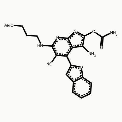 COCCCNc1nc2sc(OC(N)=O)c(N)c2c(-c2cc3ccccc3o2)c1C#N